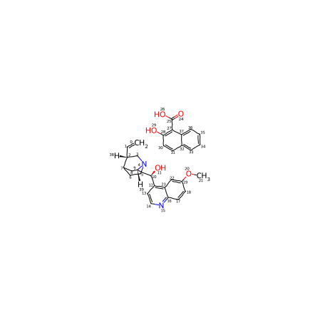 C=C[C@@H]1CN2CCC1C[C@H]2[C@@H](O)c1ccnc2ccc(OC)cc12.O=C(O)c1c(O)ccc2ccccc12